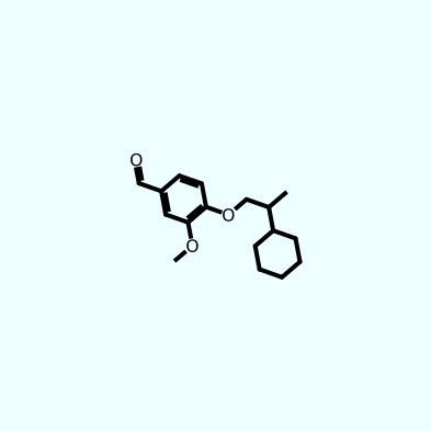 COc1cc(C=O)ccc1OCC(C)C1CCCCC1